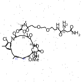 CO[C@@H]1/C=C/C=C(\C)Cc2cc(C)c(Cl)c(c2)N(C)C(=O)C[C@H](OC(=O)[C@H](C)N(C)C(=O)CCOCCOCCNC(=O)[C@@H](N)CC(N)=O)C2(C)OC2[C@H](C)[C@@H]2C[C@@]1(O)NC(=O)O2